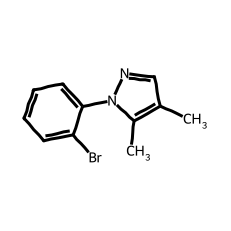 Cc1cnn(-c2ccccc2Br)c1C